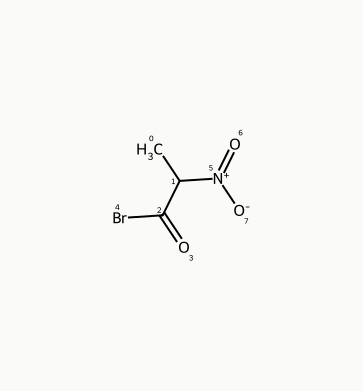 CC(C(=O)Br)[N+](=O)[O-]